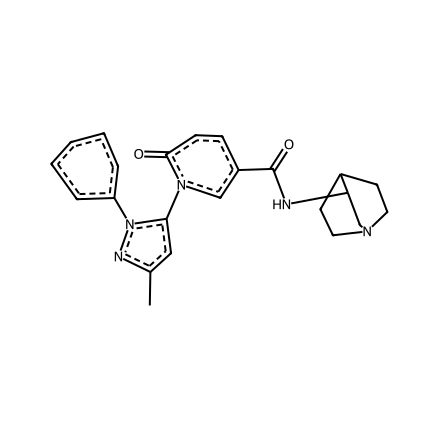 Cc1cc(-n2cc(C(=O)NC3CN4CCC3CC4)ccc2=O)n(-c2ccccc2)n1